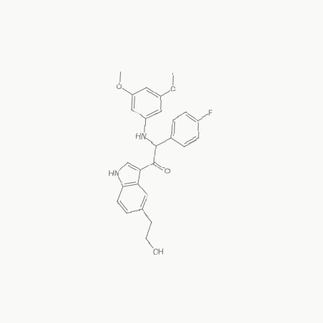 COc1cc(NC(C(=O)c2c[nH]c3ccc(CCO)cc23)c2ccc(F)cc2)cc(OC)c1